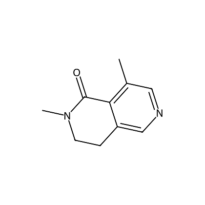 Cc1cncc2c1C(=O)N(C)CC2